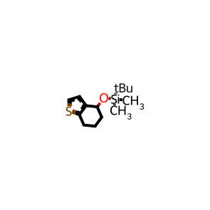 CC(C)(C)[Si](C)(C)OC1CCCc2sccc21